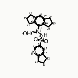 O=[C]N(NS(=O)(=O)c1cnc2c(c1)CCC2)c1c2c(cc3c1CCC3)CCC2